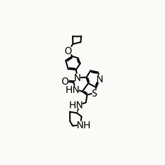 O=C1Nc2c(CN[C@@H]3CCCNC3)sc3nccc(c23)N1c1ccc(OC2CCC2)cc1